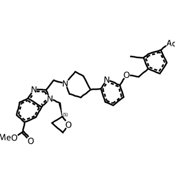 COC(=O)c1ccc2nc(CN3CCC(c4cccc(OCc5ccc(C(C)=O)cc5C)n4)CC3)n(C[C@@H]3CCO3)c2c1